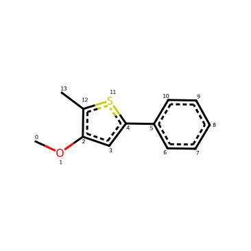 COc1cc(-c2ccccc2)sc1C